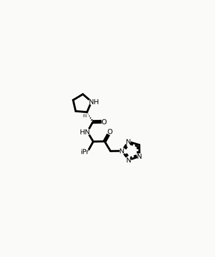 CC(C)C(NC(=O)[C@@H]1CCCN1)C(=O)Cn1ncnn1